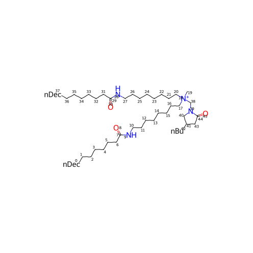 CCCCCCCCCCCCCCCCC(=O)NCCCCCCCC[N+](C)(CCCCCCCCNC(=O)CCCCCCCCCCCCCCCC)CN1CC(CCCC)CC1=O